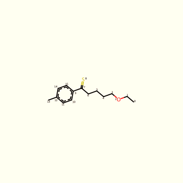 CCOCCCCC(=S)c1ccc(C)cc1